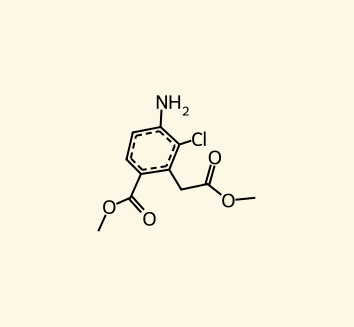 COC(=O)Cc1c(C(=O)OC)ccc(N)c1Cl